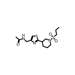 CCCS(=O)(=O)N1CCCC(c2nc(CNC(C)=O)cs2)C1